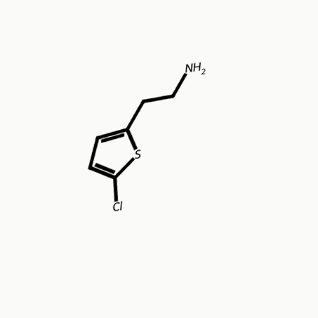 NCCc1ccc(Cl)s1